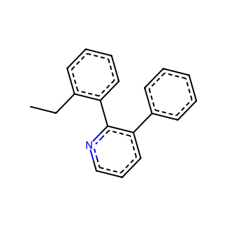 CCc1ccccc1-c1ncccc1-c1ccccc1